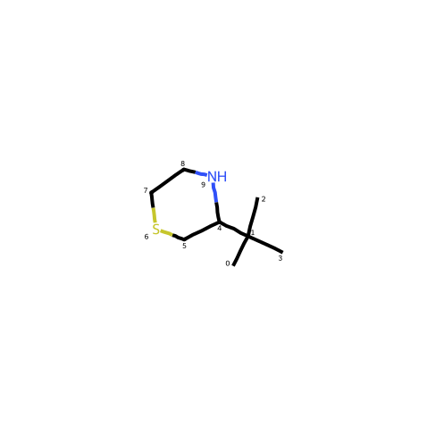 CC(C)(C)C1CSCCN1